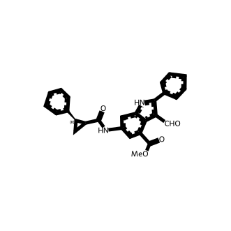 COC(=O)c1cc(NC(=O)C2C[C@H]2c2ccccc2)cc2[nH]c(-c3ccccc3)c(C=O)c12